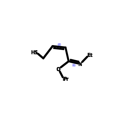 CC/N=C(\C=C/CS)OC(C)C